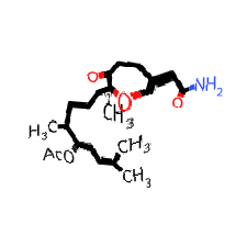 CC(=O)OC(CC=C(C)C)C(C)CCC[C@]1(C)OCC(=CC(N)=O)CCC1=O